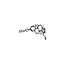 C=CCC1=CC[C@@]2(C)CC[C@@H]3c4ccc(OC)cc4CC[C@H]3[C@H]12